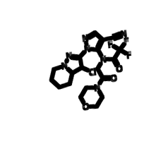 N#Cc1cnn(C2=NN3CCCCC3C2Cl)c1N(CC(=O)N1CCOCC1)C(=O)C(F)(F)F